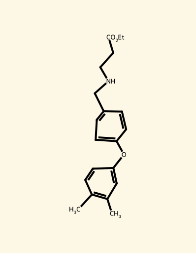 CCOC(=O)CCNCc1ccc(Oc2ccc(C)c(C)c2)cc1